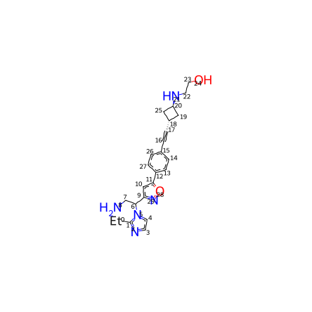 CCc1nccn1C(CN)c1cc(-c2ccc(C#C[C@H]3C[C@H](NCCO)C3)cc2)on1